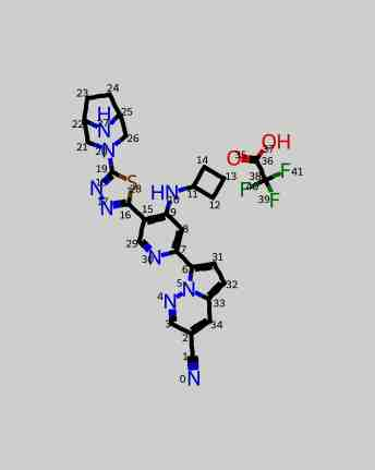 N#Cc1cnn2c(-c3cc(NC4CCC4)c(-c4nnc(N5CC6CCC(C5)N6)s4)cn3)ccc2c1.O=C(O)C(F)(F)F